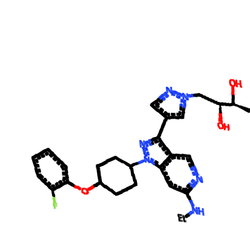 CCNc1cc2c(cn1)c(-c1cnn(C[C@H](O)[C@H](C)O)c1)nn2C1CCC(Oc2ccccc2F)CC1